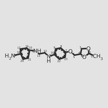 CC1OCC(COc2ccc(NCCNc3ccc(N)cc3)cc2)O1